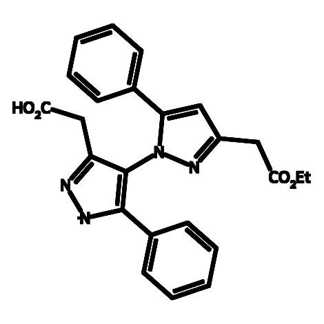 CCOC(=O)Cc1cc(-c2ccccc2)n(C2=C(c3ccccc3)[N]N=C2CC(=O)O)n1